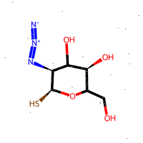 [N-]=[N+]=N[C@H]1C(O)[C@@H](O)C(CO)O[C@H]1S